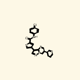 O=C(Nc1ccc(Cl)cc1)c1cc(-c2cnn3cc(-c4cccnc4)cnc23)cs1